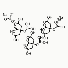 O=C(O)CC(CC(=O)O)(OB(O)O)C(=O)O.O=C(O)CC(CC(=O)O)(OB(O)O)C(=O)O.O=C(O)CC(CC(=O)O)(OB(O)O)C(=O)O.[Na+].[Na+].[Na+].[O-]B([O-])[O-]